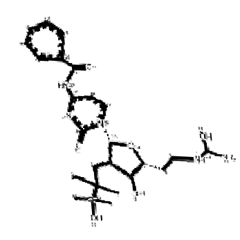 CC(C)(CC1C(O)[C@@H](CCNC(N)O)O[C@H]1n1ccc(NC(=O)c2ccccc2)nc1=O)[Si](C)(C)O